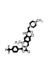 COc1cc(NC(=O)CN2CCN(C)CC2)c(Cl)cc1Cn1nc(-c2ccc(C(F)(F)F)cc2)oc1=O